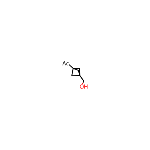 CC(=O)C12CC(CO)(C1)C2